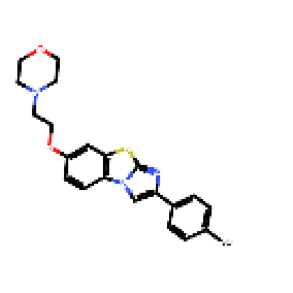 O=Nc1ccc(-c2cn3c(n2)sc2cc(OCCN4CCOCC4)ccc23)cc1